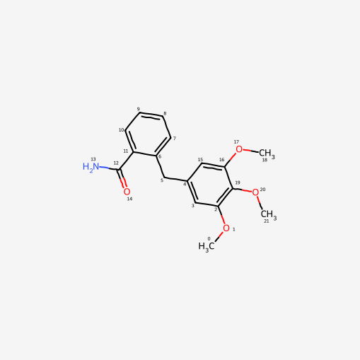 COc1cc(Cc2ccccc2C(N)=O)cc(OC)c1OC